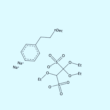 CCCCCCCCCCCCc1ccccc1.CCOC(C(OCC)(OCC)S(=O)(=O)[O-])S(=O)(=O)[O-].[Na+].[Na+]